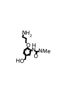 CNC(=O)Nc1cc(CO)ccc1OCCCN